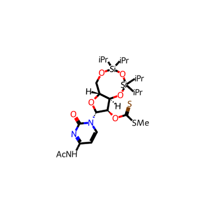 CSC(=S)O[C@@H]1[C@@H]2O[Si](C(C)C)(C(C)C)O[Si](C(C)C)(C(C)C)OC[C@H]2O[C@H]1n1ccc(NC(C)=O)nc1=O